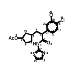 CC(=O)OC1CCC(CC(C(=O)Nc2nccs2)c2ccc(Cl)c(Cl)c2)C1